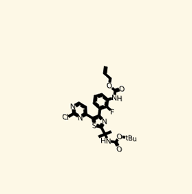 C=CCOC(=O)Nc1cccc(-c2nc(C(C)(C)NC(=O)OC(C)(C)C)sc2-c2ccnc(Cl)n2)c1F